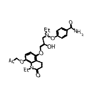 CCN(CC(O)COc1ccc(OCC(C)=O)c2c1CCC(=O)N2CC)Oc1ccc(C(N)=O)cc1